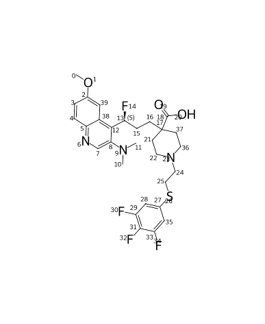 COc1ccc2ncc(N(C)C)c([C@@H](F)CCC3(C(=O)O)CCN(CCSc4cc(F)c(F)c(F)c4)CC3)c2c1